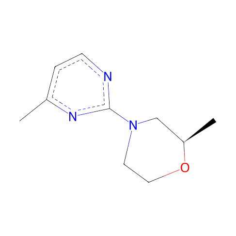 Cc1ccnc(N2CCO[C@H](C)C2)n1